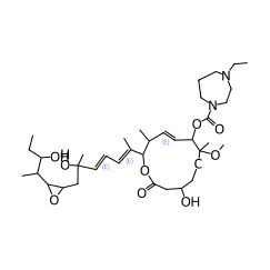 CCC(O)C(C)C1OC1CC(C)(O)/C=C/C=C(\C)C1OC(=O)CC(O)CCC(C)(OC)C(OC(=O)N2CCCN(CC)CC2)/C=C/C1C